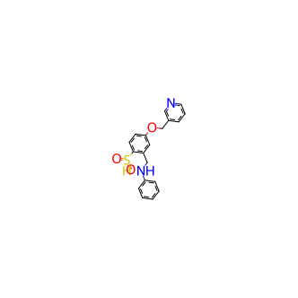 O=[SH](=O)c1ccc(OCc2cccnc2)cc1CNc1ccccc1